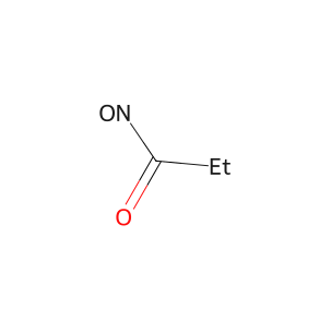 CCC(=O)N=O